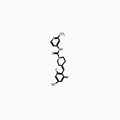 Cc1cc(NC(=O)N2CCC(=Cc3c(F)cc(C#N)cc3F)CC2)ccn1